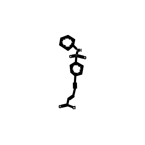 O=C(Cl)C=CC#Cc1ccc(S(=O)(=O)Nc2ccccc2)cc1